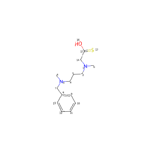 CN(CCCN(C)Cc1ccccc1)CC(O)=S